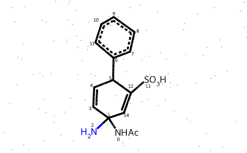 CC(=O)NC1(N)C=CC(c2ccccc2)C(S(=O)(=O)O)=C1